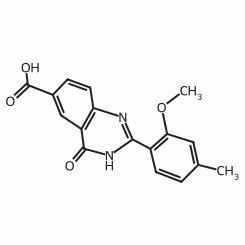 COc1cc(C)ccc1-c1nc2ccc(C(=O)O)cc2c(=O)[nH]1